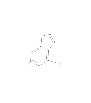 CCCCc1cc(C)cc2occc12